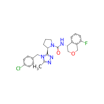 Cc1nnc([C@H]2CCCN2C(=O)N[C@H]2COCc3c(F)cccc32)n1Cc1ccc(Cl)cc1